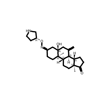 C=C1C[C@@]2(O)CC(=NO[C@@H]3CCNC3)CC[C@]2(C)[C@H]2CC[C@]3(C)C(=O)CC[C@H]3[C@H]12